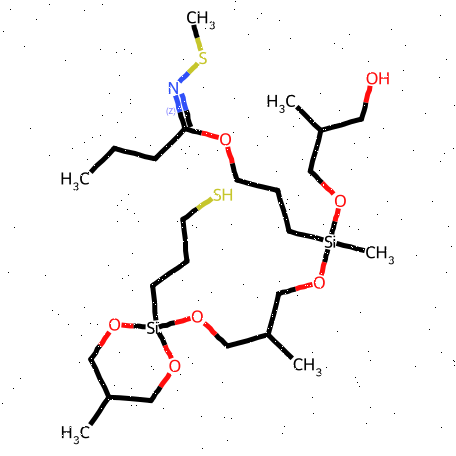 CCC/C(=N/SC)OCCC[Si](C)(OCC(C)CO)OCC(C)CO[Si]1(CCCS)OCC(C)CO1